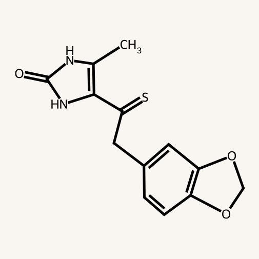 Cc1[nH]c(=O)[nH]c1C(=S)Cc1ccc2c(c1)OCO2